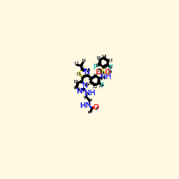 CC(=O)NCCNc1nccc(-c2sc(C(C)C)nc2-c2ccc(F)c(NS(=O)(=O)c3c(F)cccc3F)c2)n1